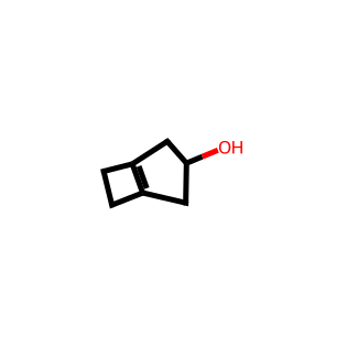 OC1CC2=C(CC2)C1